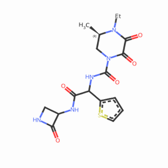 CCN1C(=O)C(=O)N(C(=O)NC(C(=O)NC2CNC2=O)c2cccs2)C[C@H]1C